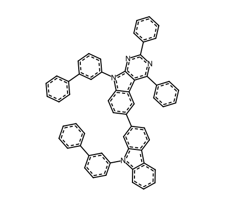 c1ccc(-c2cccc(-n3c4ccccc4c4ccc(-c5ccc6c(c5)c5c(-c7ccccc7)nc(-c7ccccc7)nc5n6-c5cccc(-c6ccccc6)c5)cc43)c2)cc1